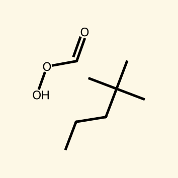 CCCC(C)(C)C.O=COO